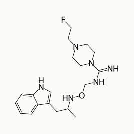 CC(Cc1c[nH]c2ccccc12)NOCNC(=N)N1CCN(CCF)CC1